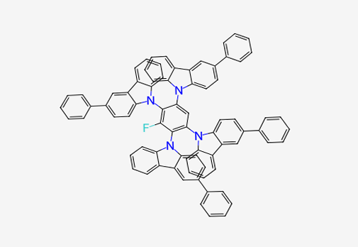 Fc1c(-n2c3ccccc3c3cc(-c4ccccc4)ccc32)c(-n2c3ccccc3c3cc(-c4ccccc4)ccc32)cc(-n2c3ccccc3c3cc(-c4ccccc4)ccc32)c1-n1c2ccccc2c2cc(-c3ccccc3)ccc21